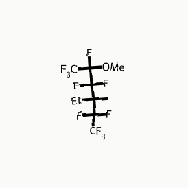 CCC(C)(C(F)(F)C(F)(F)F)C(F)(F)C(F)(OC)C(F)(F)F